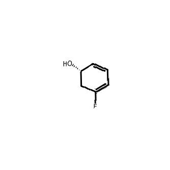 O[C@@H]1C=CC=C(F)C1